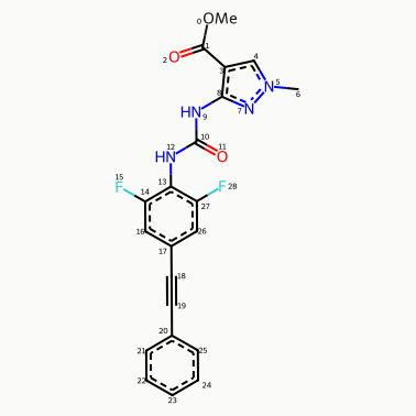 COC(=O)c1cn(C)nc1NC(=O)Nc1c(F)cc(C#Cc2ccccc2)cc1F